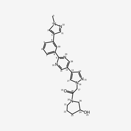 Cn1cc(-c2cccc(-c3ncc(-c4cnn(CC(=O)N5CCCC(O)C5)c4)cn3)c2)cn1